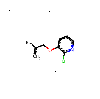 C=C(CC)COc1cccnc1Cl